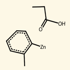 CCC(=O)O.Cc1cccc[c]1[Zn]